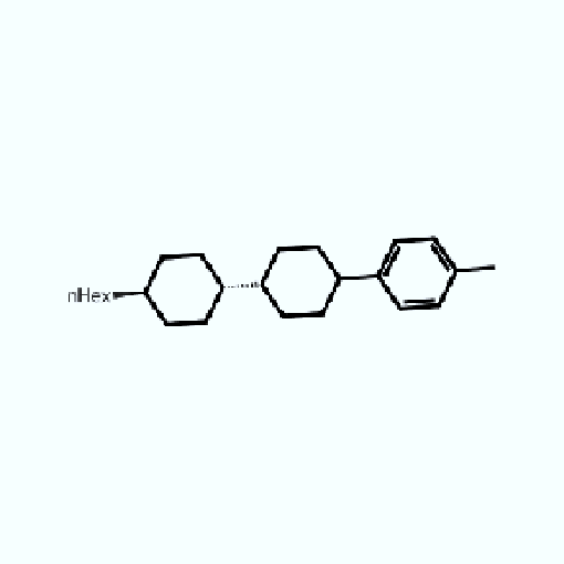 CCCCCC[C@H]1CC[C@H](C2CCC(c3ccc(C)cc3)CC2)CC1